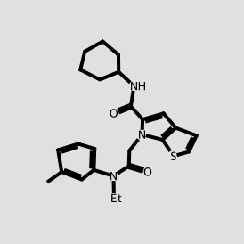 CCN(C(=O)Cn1c(C(=O)NC2CCCCC2)cc2ccsc21)c1cccc(C)c1